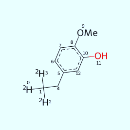 [2H]C([2H])([2H])Cc1ccc(OC)c(O)c1